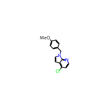 COc1ccc(Cn2ccc3c(Cl)ccnc32)cc1